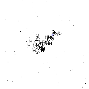 Cc1sc2c(c1C)C(c1ccc(Cl)cc1)=N[C@@H](CC(=O)NC1CC(NC(=O)/C=C/C(=O)N3CCOCC3)C1)c1nnc(C)n1-2